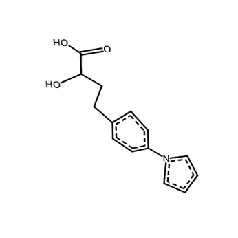 O=C(O)C(O)CCc1ccc(-n2cccc2)cc1